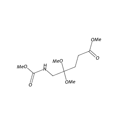 COC(=O)CCC(CNC(=O)OC)(OC)OC